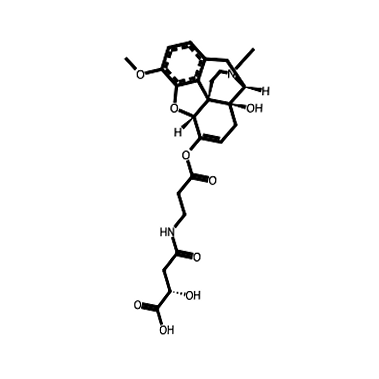 COc1ccc2c3c1O[C@H]1C(OC(=O)CCNC(=O)C[C@H](O)C(=O)O)=CC[C@@]4(O)[C@@H](C2)N(C)CC[C@]314